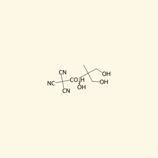 CC(CO)(CO)CO.N#CC(C#N)(C#N)C(=O)O